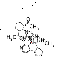 CCCCc1cn(C2C(C(C)=O)CCCC2C(C)C)c(=O)n1Cc1cnccc1-c1ccccc1-c1nnn[nH]1